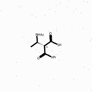 CCCC(=O)[C@@H](C(=O)S)C(C)NC(C)=O